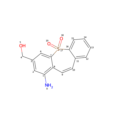 Nc1cc(CO)cc2c1C=Cc1ccccc1S2(=O)=O